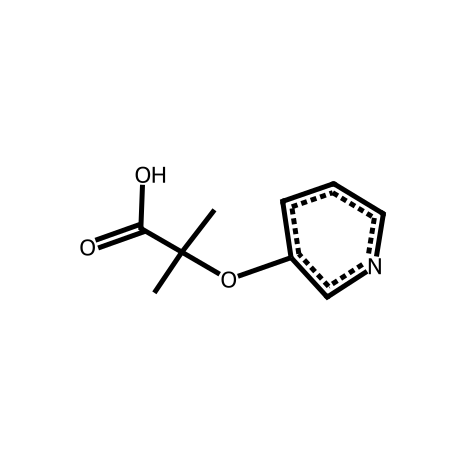 CC(C)(Oc1cccnc1)C(=O)O